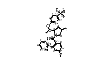 CC1CC(C(C)Oc2ccc(C(F)(F)F)cn2)N(C(=O)c2ccc(F)cc2-c2ncccn2)C1